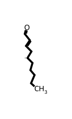 CCCCC[CH]CC=CC=O